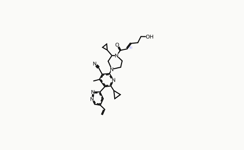 C=Cc1cnnc(-c2c(C3CC3)nc(N3CCN(C(=O)/C=C/CCO)C(C4CC4)C3)c(C#N)c2C)c1